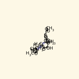 CCC(O)C(C)[C@H]1O[C@@H]1CC(C)(O)/C=C/C=C(\C)[C@H]1OC(=O)C[C@H](O)CC[C@@](C)(OC)[C@@H](OC(=O)N2CCN(CCCC(=O)OC)CC2)/C=C/[C@@H]1C